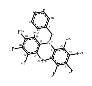 Fc1c(F)c(F)c(N([CH]c2ccccc2)c2c(F)c(F)c(F)c(F)c2F)c(F)c1F